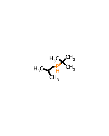 CC(C)CPC(C)(C)C